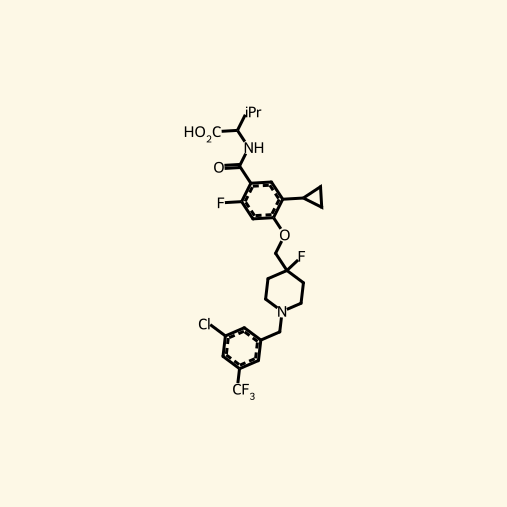 CC(C)C(NC(=O)c1cc(C2CC2)c(OCC2(F)CCN(Cc3cc(Cl)cc(C(F)(F)F)c3)CC2)cc1F)C(=O)O